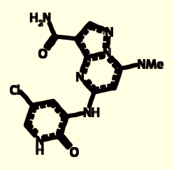 CNc1cc(Nc2cc(Cl)c[nH]c2=O)nc2c(C(N)=O)cnn12